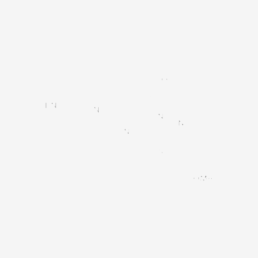 COCc1nn2c(=O)cc(N3CCNCC3)nc2s1